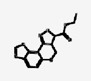 CCOC(=O)C1ON=C2c3c(ccc4ncoc34)OCC21